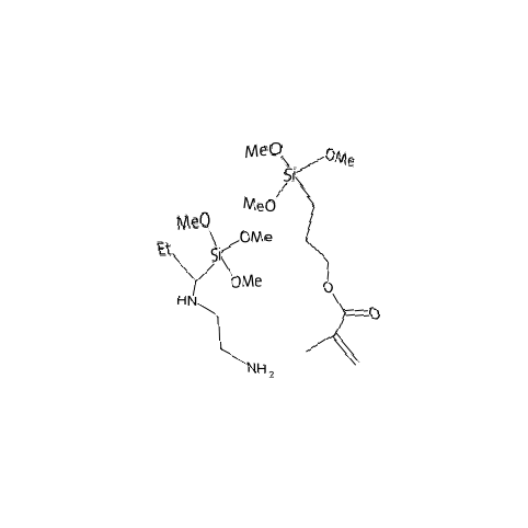 C=C(C)C(=O)OCCC[Si](OC)(OC)OC.CCC(NCCN)[Si](OC)(OC)OC